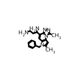 Cc1cc2c(cc(C(N)CCN)c3nnc(C)n32)n1Cc1ccccc1